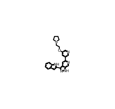 c1ccc2[nH]c(-c3n[nH]c4cnc(-c5cncc(OCCN6CCCC6)c5)cc34)cc2c1